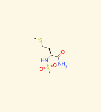 CSCC[C@H](NS(C)(=O)=O)C(N)=O